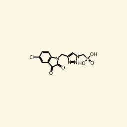 O=C1C(=O)N(Cc2cn(CP(=O)(O)O)nn2)c2ccc(Cl)cc21